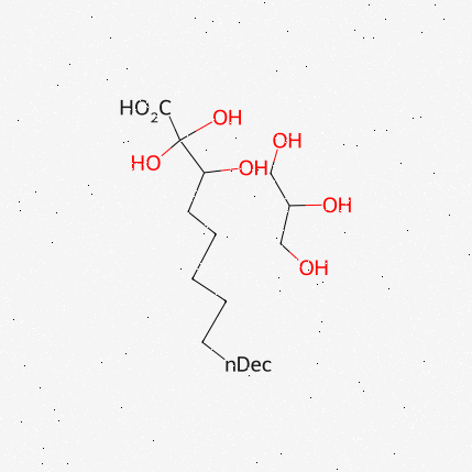 CCCCCCCCCCCCCCCC(O)C(O)(O)C(=O)O.OCC(O)CO